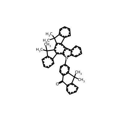 CC1(C)c2ccccc2C(=O)c2ccc(-n3c4ccccc4c4c5c(c6c(c43)-c3ccccc3C6(C)C)C(C)(C)c3ccccc3-5)cc21